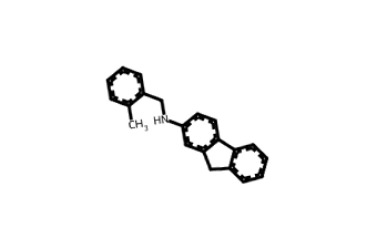 Cc1ccccc1CNc1ccc2c(c1)Cc1ccccc1-2